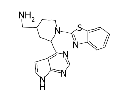 NCC1CCN(c2nc3ccccc3s2)C(c2ncnc3[nH]ccc23)C1